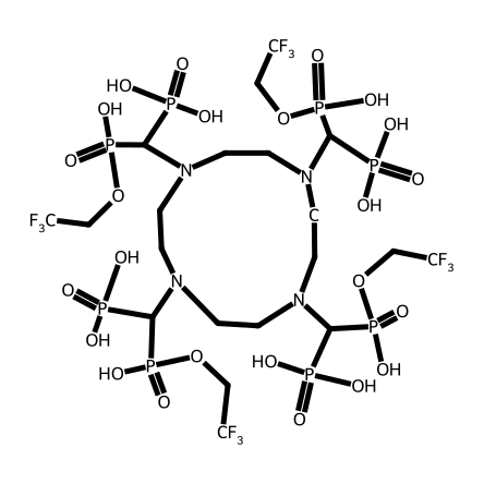 O=P(O)(O)C(N1CCN(C(P(=O)(O)O)P(=O)(O)OCC(F)(F)F)CCN(C(P(=O)(O)O)P(=O)(O)OCC(F)(F)F)CCN(C(P(=O)(O)O)P(=O)(O)OCC(F)(F)F)CC1)P(=O)(O)OCC(F)(F)F